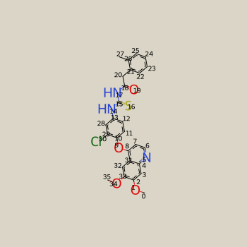 COc1cc2nccc(Oc3ccc(NC(=S)NC(=O)Cc4ccccc4C)cc3Cl)c2cc1OC